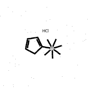 Cl.[CH3][Ti]([CH3])([CH3])([CH3])([CH3])([CH3])[C]1=CC=CC1